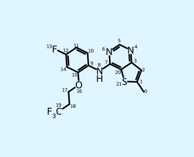 Cc1cc2ncnc(Nc3ccc(F)cc3OCCC(F)(F)F)c2s1